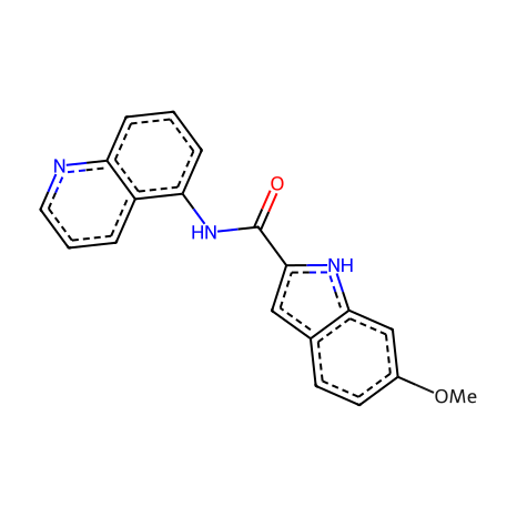 COc1ccc2cc(C(=O)Nc3cccc4ncccc34)[nH]c2c1